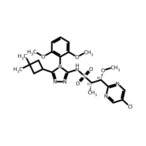 COc1cccc(OC)c1-n1c(NS(=O)(=O)[C@@H](C)[C@H](OC)c2ncc(Cl)cn2)nnc1C1CC(C)(C)C1